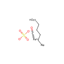 CCCCCCCCCCC[CH2][Na].O=S(=O)([O-])[O-].O=[C]=[Fe+2]